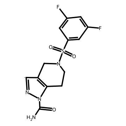 NC(=O)n1n[c]c2c1CCN(S(=O)(=O)c1cc(F)cc(F)c1)C2